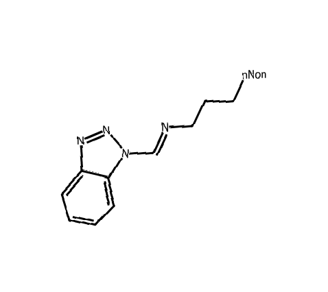 CCCCCCCCCCCCN=Cn1nnc2ccccc21